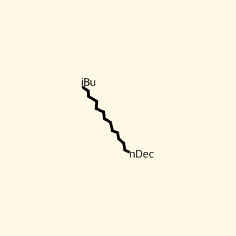 [CH2]CCCCCCCCCCCCCCCCCCCCCCC(C)CC